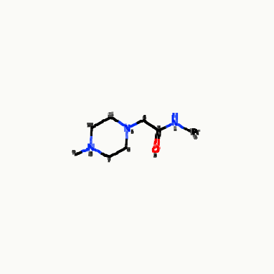 CC(C)NC(=O)CN1CCN(C)CC1